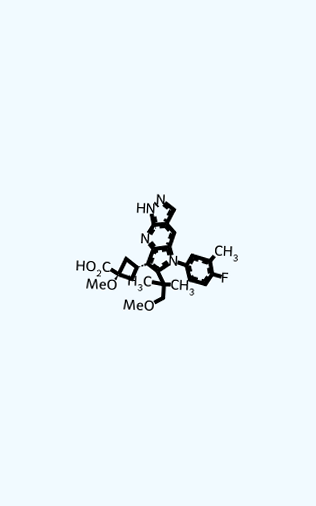 COCC(C)(C)c1c([C@H]2C[C@](OC)(C(=O)O)C2)c2nc3[nH]ncc3cc2n1-c1ccc(F)c(C)c1